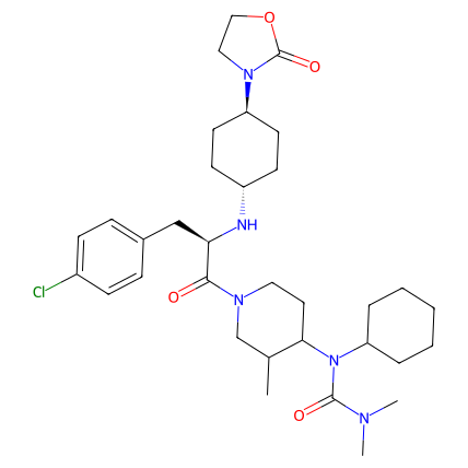 CC1CN(C(=O)[C@@H](Cc2ccc(Cl)cc2)N[C@H]2CC[C@H](N3CCOC3=O)CC2)CCC1N(C(=O)N(C)C)C1CCCCC1